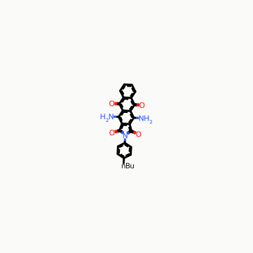 CCCCc1ccc(-n2c(=O)c3c(N)c4c(=O)c5ccccc5c(=O)c4c(N)c3c2=O)cc1